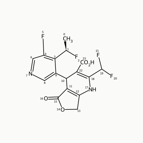 C[C@@H](F)c1c(F)cncc1C1C2=C(COC2=O)NC(C(F)F)=C1C(=O)O